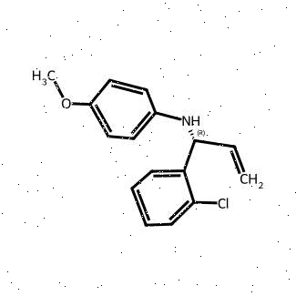 C=C[C@@H](Nc1ccc(OC)cc1)c1ccccc1Cl